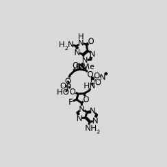 C=NOP1(=O)NCC2OC(n3cnc4c(N)ncnc43)C(F)C2OP(=O)(O)OCC2OC(n3cnc4c(=O)[nH]c(N)nc43)C(O1)C2OC